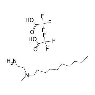 CCCCCCCCCCN(C)CCN.O=C(O)C(F)(F)F.O=C(O)C(F)(F)F